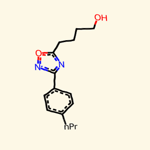 CCCc1ccc(-c2noc(CCCCO)n2)cc1